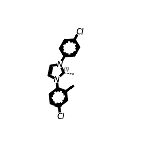 Cc1cc(Cl)ccc1N1C=CN(c2ccc(Cl)cc2)[C@@H]1C